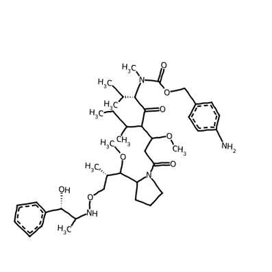 CCC(C)C(C(=O)[C@H](C(C)C)N(C)C(=O)OCc1ccc(N)cc1)C(CC(=O)N1CCCC1C(OC)[C@@H](C)CONC(C)[C@@H](O)c1ccccc1)OC